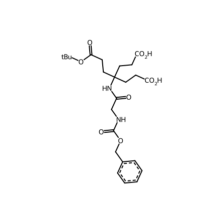 CC(C)(C)OC(=O)CCC(CCC(=O)O)(CCC(=O)O)NC(=O)CNC(=O)OCc1ccccc1